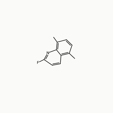 Cc1ccc(C)c2nc(F)ccc12